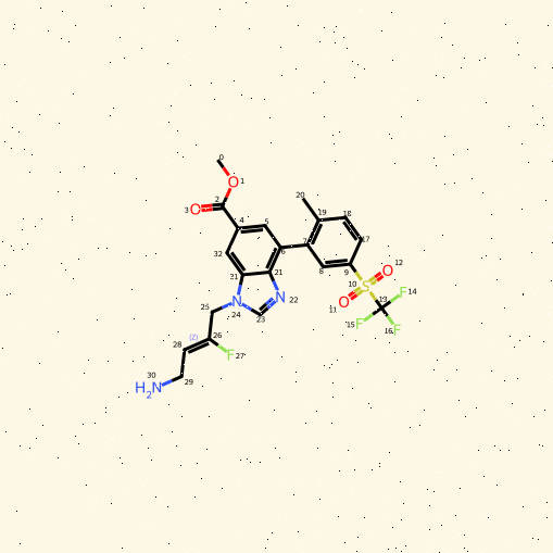 COC(=O)c1cc(-c2cc(S(=O)(=O)C(F)(F)F)ccc2C)c2ncn(C/C(F)=C/CN)c2c1